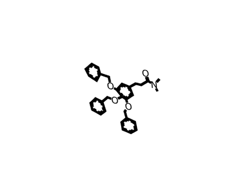 CN(C)C(=O)CCc1cc(OCc2ccccc2)c(OCc2ccccc2)c(OCc2ccccc2)c1